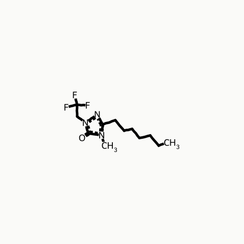 CCCCCCCc1nn(CC(F)(F)F)c(=O)n1C